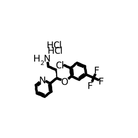 Cl.Cl.NCC[C@@H](Oc1cc(C(F)(F)F)ccc1Cl)c1ccccn1